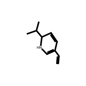 C=CC1=CNC(C(C)C)C=C1